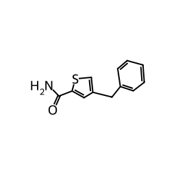 NC(=O)c1cc(Cc2ccccc2)cs1